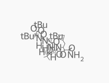 CC(C)(C)OC(=O)[C@H](NC(=O)N[C@H](C(=O)N1C[C@H]2[C@@H]([C@H]1C(=O)NC(CC1CCC1)C(=O)C(N)=O)C2(C)C)C(C)(C)C)C(C)(C)C